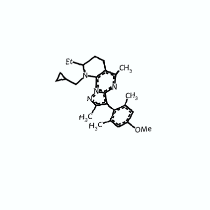 CCC1CCc2c(C)nc3c(-c4c(C)cc(OC)cc4C)c(C)nn3c2N1CC1CC1